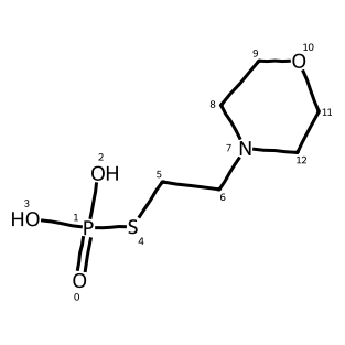 O=P(O)(O)SCCN1CCOCC1